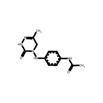 CC(=O)Nc1ccc(NN2CC(C)=NNC2=O)cc1